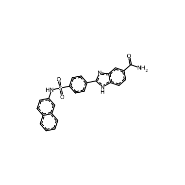 NC(=O)c1ccc2[nH]c(-c3ccc(S(=O)(=O)Nc4ccc5ccccc5c4)cc3)nc2c1